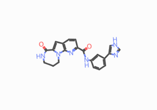 O=C(Nc1cccc(-c2c[nH]cn2)c1)c1ccc2cc3n(c2n1)CCCNC3=O